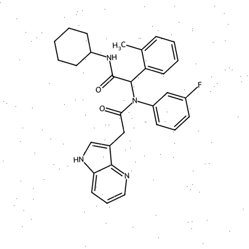 Cc1ccccc1C(C(=O)NC1CCCCC1)N(C(=O)Cc1c[nH]c2cccnc12)c1cccc(F)c1